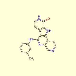 Cc1cccc(Nc2nc3cnccc3c3[nH]c4c(=O)[nH]ccc4c23)c1